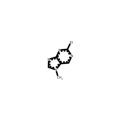 CCc1n[c]c2c(ncn2C)n1